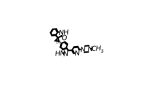 CN1CCN(c2ccc(-c3n[nH]c4cc([C@@H]5CC56C(=O)Nc5ccccc56)ccc34)cn2)CC1